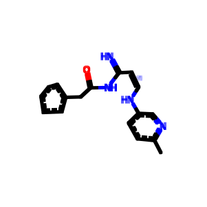 Cc1ccc(N/C=C\C(=N)NC(=O)Cc2ccccc2)cn1